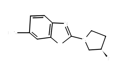 Nc1ccc2nc(N3CC[C@@H](F)C3)oc2c1